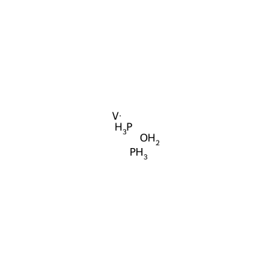 O.P.P.[V]